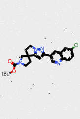 CC(C)(C)OC(=O)N1CCC2(CCn3nc(-c4cnc5ccc(Cl)cc5c4)cc32)C1